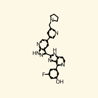 Oc1cc(F)cc(-c2nccc3[nH]c(-c4n[nH]c5ncc(-c6cncc(CN7CCCC7)c6)cc45)nc23)c1